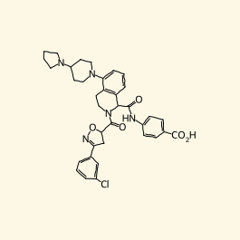 O=C(O)c1ccc(NC(=O)C2c3cccc(N4CCC(N5CCCC5)CC4)c3CCN2C(=O)C2CC(c3cccc(Cl)c3)=NO2)cc1